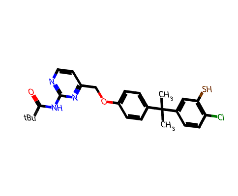 CC(C)(C)C(=O)Nc1nccc(COc2ccc(C(C)(C)c3ccc(Cl)c(S)c3)cc2)n1